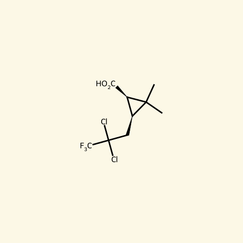 CC1(C)[C@H](C(=O)O)[C@@H]1CC(Cl)(Cl)C(F)(F)F